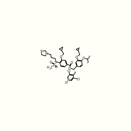 CS(=O)(=O)N(CCCN1CCSC1)c1ccc(C(=O)O[C@@H](Cc2c(Cl)c[n+]([O-])cc2Cl)c2ccc(OC(F)F)c(OCC3CC3)c2)cc1OCC1CC1